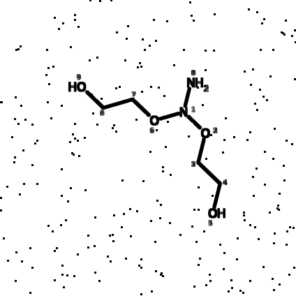 NN(OCCO)OCCO